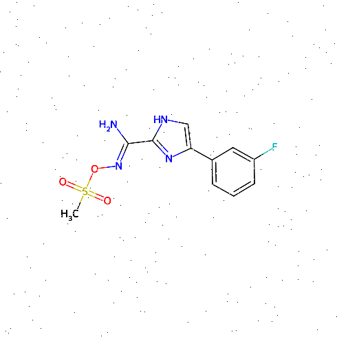 CS(=O)(=O)ON=C(N)c1nc(-c2cccc(F)c2)c[nH]1